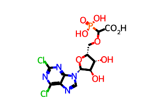 O=C(O)C(OC[C@H]1O[C@@H](n2cnc3c(Cl)nc(Cl)nc32)[C@H](O)[C@H]1O)P(=O)(O)O